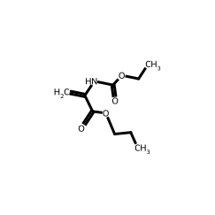 C=C(NC(=O)OCC)C(=O)OCCC